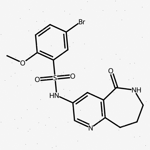 COc1ccc(Br)cc1S(=O)(=O)Nc1cnc2c(c1)C(=O)NCCC2